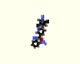 Nc1ccccc1NC(=O)c1ccc(N2C[C@@H]3C[C@@H]2CN3)nc1